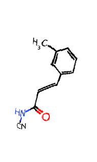 Cc1cccc(C=CC(=O)NC#N)c1